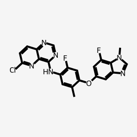 Cc1cc(Nc2ncnc3ccc(Cl)nc23)c(F)cc1Oc1cc(F)c2c(c1)ncn2C